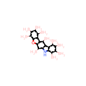 Bc1c(B)c(B)c2c([nH]c3c(B)c4oc5c(B)c(B)c(B)c(B)c5c4c(B)c32)c1B